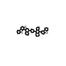 c1ccc2c(c1)oc1ccc(-c3c4ccccc4c(-c4ccc(-c5cc6sc7ccc8c9ccccc9sc8c7c6c6ccccc56)cc4)c4ccccc34)cc12